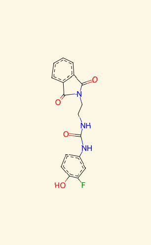 O=C(NCCN1C(=O)c2ccccc2C1=O)Nc1ccc(O)c(F)c1